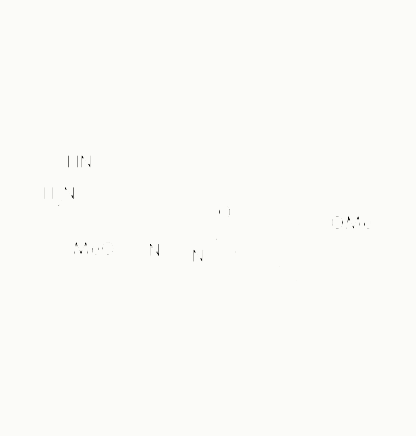 COc1ccc2c(c1)CC1(CCN(c3ccc(/C(C=N)=C/N)c(OC)n3)C1=O)C2